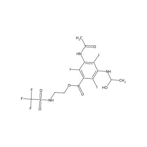 CC(=O)Nc1c(I)c(NC(C)O)c(I)c(C(=O)OCCNS(=O)(=O)C(F)(F)F)c1I